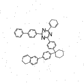 C1=CC(c2nc(-c3ccc(-c4ccccc4)cc3)nc(-c3ccc(C4(c5ccc(-c6ccc7c(c6)C=CCC7)cc5)CCCCC4)cc3)n2)=CCC1